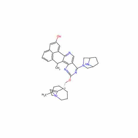 CC1c2c(ncc3c(N4CC5CCC(C4)N5)nc(OC[C@]45CCC[N+]6(CC=C46)C(C)CC5)nc23)-c2cc(O)cc3cccc1c23